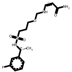 C[C@@H](NS(=O)(=O)CCCOCN/C=C\C(N)=O)c1cccc(F)c1